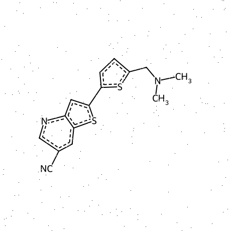 CN(C)Cc1ccc(-c2cc3ncc(C#N)cc3s2)s1